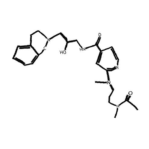 CC(=O)N(C)CCN(C)c1cc(C(=O)NCC(O)CN2CCc3ccccc3C2)ccn1